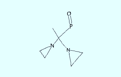 CC(P=O)(N1CC1)N1CC1